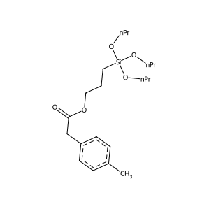 CCCO[Si](CCCOC(=O)Cc1ccc(C)cc1)(OCCC)OCCC